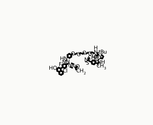 C=CC(=O)N1CCN(c2nc(Nc3ccc(OCCOCCOCCOCC(=O)N[C@H](C(=O)N4CCC[C@H]4C(=O)N[C@@H](C)c4ccc(-c5scnc5C)cc4)C(C)(C)C)cc3)nc3c(F)c(-c4cc(O)cc5ccccc45)c(Cl)cc23)CC1